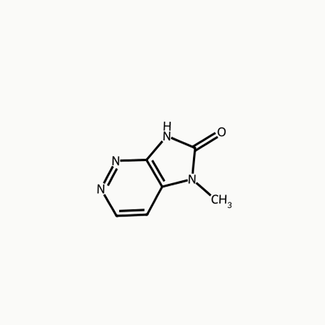 Cn1c(=O)[nH]c2nnccc21